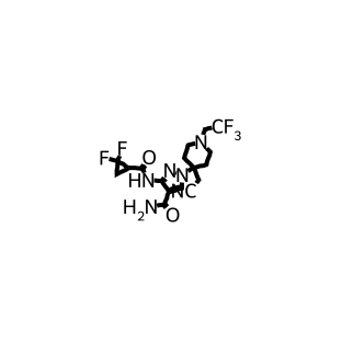 N#CCC1(n2cc(C(N)=O)c(NC(=O)C3CC3(F)F)n2)CCN(CC(F)(F)F)CC1